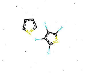 Fc1sc(F)c(F)c1F.c1ccsc1